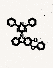 c1ccc(-c2nc(-c3ccccc3)nc(-n3c4ccccc4c4cc5c(cc43)Oc3ccccc3O5)n2)cc1